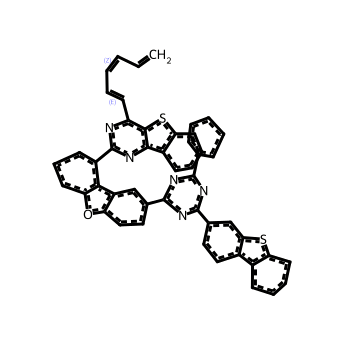 C=C/C=C\C=C\c1nc(-c2cccc3oc4ccc(-c5nc(-c6ccccc6)nc(-c6ccc7c(c6)sc6ccccc67)n5)cc4c23)nc2c1sc1ccccc12